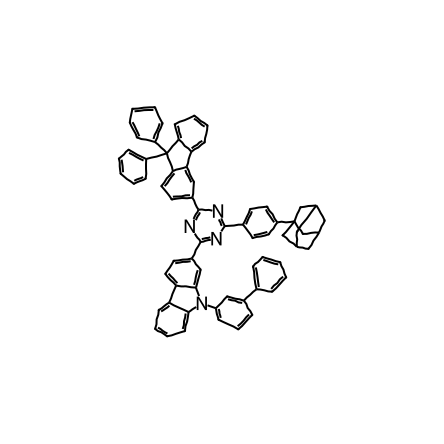 c1ccc(-c2cccc(-n3c4ccccc4c4ccc(-c5nc(-c6ccc(C78CC9CC(CC(C9)C7)C8)cc6)nc(-c6ccc7c(c6)-c6ccccc6C7(c6ccccc6)c6ccccc6)n5)cc43)c2)cc1